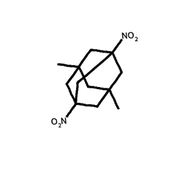 CC12CC3(C)CC([N+](=O)[O-])(C1)CC([N+](=O)[O-])(C2)C3